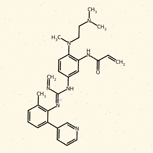 C=CC(=O)Nc1cc(N/C(N=C)=N/c2c(C)cccc2-c2cccnc2)ccc1N(C)CCN(C)C